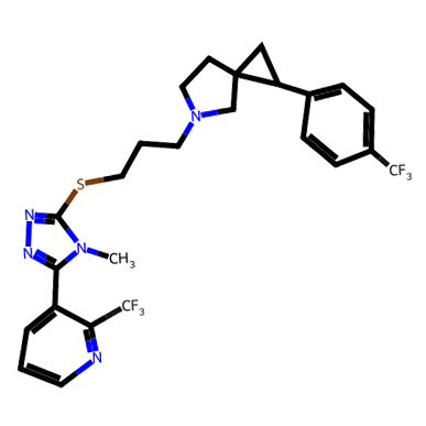 Cn1c(SCCCN2CCC3(CC3c3ccc(C(F)(F)F)cc3)C2)nnc1-c1cccnc1C(F)(F)F